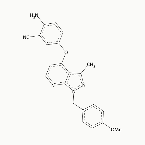 COc1ccc(Cn2nc(C)c3c(Oc4ccc(N)c(C#N)c4)ccnc32)cc1